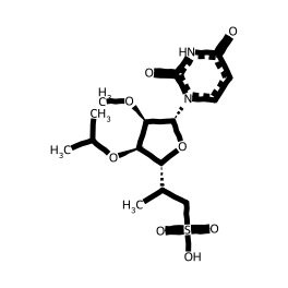 CO[C@@H]1[C@H](OC(C)C)[C@@H](C(C)CS(=O)(=O)O)O[C@H]1n1ccc(=O)[nH]c1=O